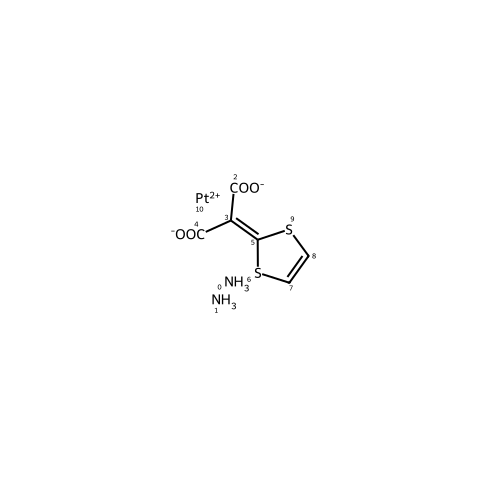 N.N.O=C([O-])C(C(=O)[O-])=C1SC=CS1.[Pt+2]